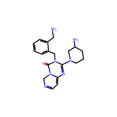 NCc1ccccc1CN1C(=O)N2CN=CC=C2N=C1N1CCCC(N)C1